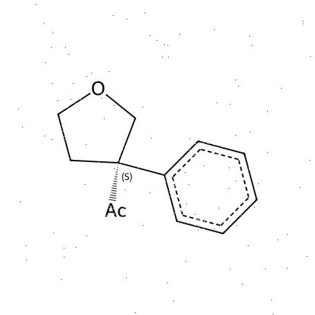 CC(=O)[C@]1(c2ccccc2)CCOC1